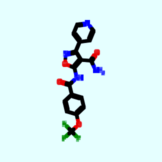 NC(=O)c1c(-c2ccncc2)noc1NC(=O)c1ccc(OC(F)(F)F)cc1